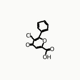 O=C(O)c1cc(=O)c(Cl)c(-c2ccccc2)o1